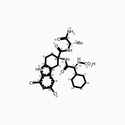 CCC(C)[C@H](NC(=O)[C@@]1(NC(=O)[C@@H](NC(=O)O)C2CCCCC2)CCc2[nH]c3c(Cl)cc(Cl)cc3c2C1)C(N)=O